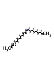 CC=COCCCCCCCC/C=C\CCCCCCCC